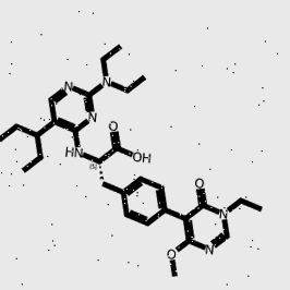 CCC(CC)c1cnc(N(CC)CC)nc1N[C@@H](Cc1ccc(-c2c(OC)ncn(CC)c2=O)cc1)C(=O)O